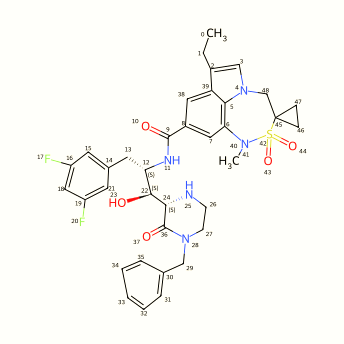 CCc1cn2c3c(cc(C(=O)N[C@@H](Cc4cc(F)cc(F)c4)[C@H](O)[C@@H]4NCCN(Cc5ccccc5)C4=O)cc13)N(C)S(=O)(=O)C1(CC1)C2